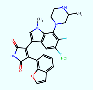 CC1CN(c2c(F)c(F)cc3c(C4=C(c5cccc6ccoc56)C(=O)NC4=O)cn(C)c23)CCN1.Cl